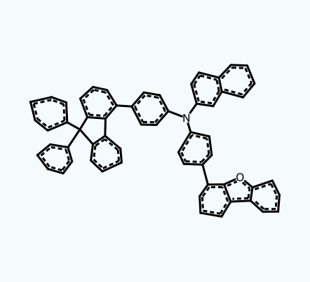 c1ccc(C2(c3ccccc3)c3ccccc3-c3c(-c4ccc(N(c5ccc(-c6cccc7c6oc6ccccc67)cc5)c5ccc6ccccc6c5)cc4)cccc32)cc1